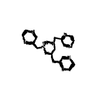 c1cnc(CC2CN(Cc3cnccn3)NN(Cc3cnccn3)C2)cn1